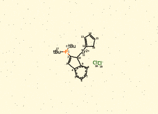 CC(C)(C)P(C1=Cc2ccccc2[CH]1[Zr+2][C]1=CC=CC1)C(C)(C)C.[Cl-].[Cl-]